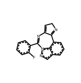 Fc1ccccc1C1=NC2=CCN=C2c2cccc3cnn1c23